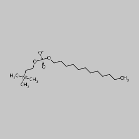 CCCCCCCCCCCCOP(=O)([O-])OCC[N+](C)(C)C